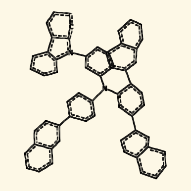 c1cc(N(c2ccc(-c3ccc4ccccc4c3)cc2)c2cc(-c3ccc4ccccc4c3)ccc2-c2ccc3ccccc3c2)cc(-n2c3ccccc3c3ccccc32)c1